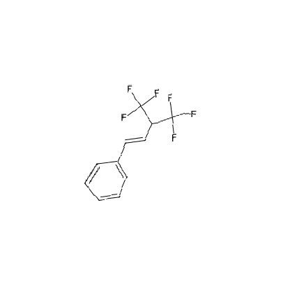 FC(F)(F)C(C=Cc1ccccc1)C(F)(F)F